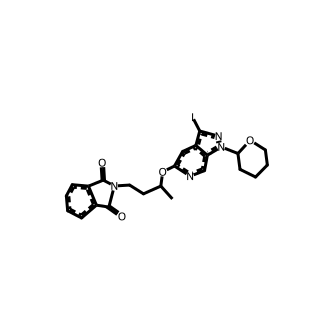 CC(CCN1C(=O)c2ccccc2C1=O)Oc1cc2c(I)nn(C3CCCCO3)c2cn1